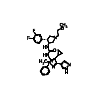 COCCN1C[C@@H](NC(=O)NC2=C(C3CC3)C(c3cn[nH]c3)=N[N+]2(C)c2ccccc2)[C@H](c2ccc(F)c(F)c2)C1